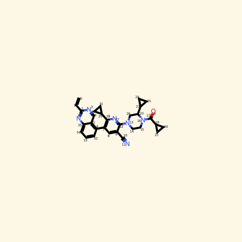 C=Cc1ncc2c(-c3cc(C#N)c(N4CCN(C(=O)C5CC5)C(C5CC5)C4)nc3C3CC3)cccc2n1